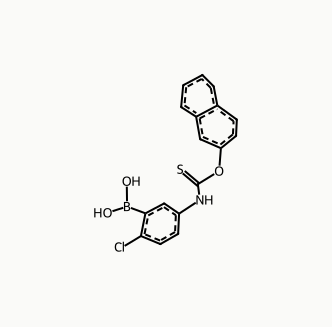 OB(O)c1cc(NC(=S)Oc2ccc3ccccc3c2)ccc1Cl